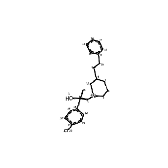 CC(O)(CN1CCCC(CCc2ccccc2)C1)c1ccc(Cl)cc1